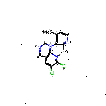 CSc1ccnc(C(C)C)c1N1CN=Cc2cc(Cl)c(Cl)nc21